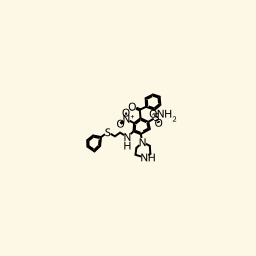 NS(=O)(=O)c1cc(N2CCNCC2)c(NCCSc2ccccc2)c([N+](=O)[O-])c1C(=O)c1ccccc1